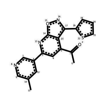 CC(=O)c1cc(-c2cncc(C)c2)nc2onc(-c3cccs3)c12